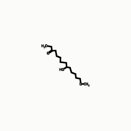 CCC(=O)CCCCCC(O)CCCCCOC